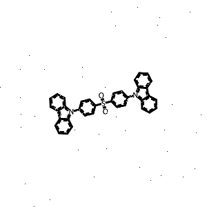 O=S(=O)(c1ccc(-n2c3ccccc3c3ccccc32)cc1)c1ccc(-n2c3ccccc3c3ccccc32)cc1